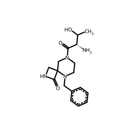 CC(O)[C@H](N)C(=O)N1CCN(Cc2ccccc2)C2(CNC2=O)C1